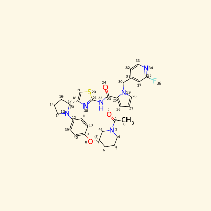 CC(=O)N1CCC[C@H](Oc2ccc(N3CCC[C@@H]3c3csc(NC(=O)c4cccn4Cc4ccnc(F)c4)n3)cc2)C1